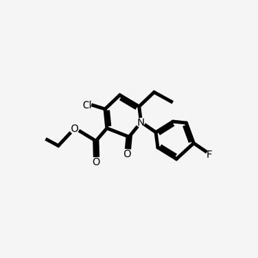 CCOC(=O)c1c(Cl)cc(CC)n(-c2ccc(F)cc2)c1=O